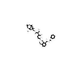 CCC1(C)CC2(C)CC(C)(CN/C(C)=C(\C=N)c3ccc(N4CCc5c(F)ccc(C(=O)Nc6nc7ccccc7s6)c5C4)nc3C(=O)O)CC(ON)(C1)C2